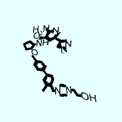 Cc1cc(-c2ccc(CO[C@H]3CCC[C@@H]3NC(=O)c3cc(-c4cnn(C)c4)cnc3N)cc2)ccc1CN1CCN(CCO)CC1